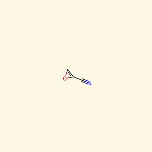 N#CC1=CO1